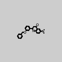 CN(C)c1ccc2c(c1)C(=O)CC(c1cccc(OCc3ccccc3)c1)=N2